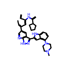 C=C/C(=C\C(=C/C)c1cnc2[nH]nc(-c3cc4c(N5CCN(C)CC5)cccc4[nH]3)c2c1)NC(=C)C1CCCC1